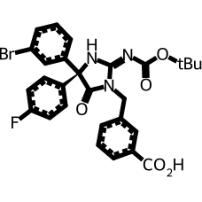 CC(C)(C)OC(=O)N=C1N[C@@](c2ccc(F)cc2)(c2cccc(Br)c2)C(=O)N1Cc1cccc(C(=O)O)c1